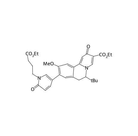 CCOC(=O)CCCn1cc(-c2cc3c(cc2OC)-c2cc(=O)c(C(=O)OCC)cn2C(C(C)(C)C)C3)ccc1=O